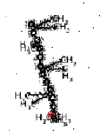 CCCCCCCCC1(CCCCCCC)c2cc(-c3ccc(B4OC(C)(C)C(C)(C)O4)cc3)ccc2-c2ccc(-c3ccc(-c4ccc5c(c4)C(CCCCCCCC)(CCCCCCCC)c4cc(-c6ccc(-c7ccc8c(c7)C(C)(C)c7cc(-c9ccc%10c(c9)C(CCCCCCCC)(CCCCCCCC)c9ccccc9-%10)ccc7-8)cc6)ccc4-5)cc3)cc21